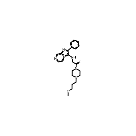 COCCCN1CCN(C(=O)CNc2c(-c3ccccc3)nc3cnccn23)CC1